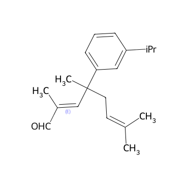 CC(C)=CCC(C)(/C=C(\C)C=O)c1cccc(C(C)C)c1